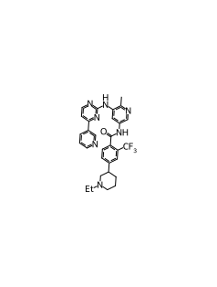 CCN1CCCC(c2ccc(C(=O)Nc3cnc(C)c(Nc4nccc(-c5cccnc5)n4)c3)c(C(F)(F)F)c2)C1